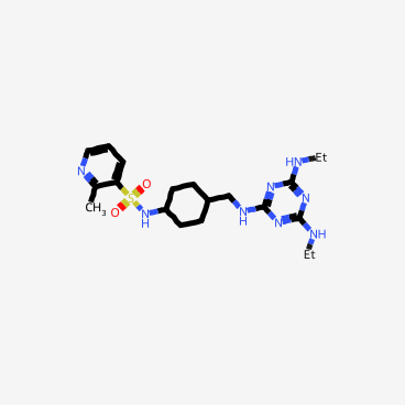 CCNc1nc(NCC)nc(NCC2CCC(NS(=O)(=O)c3cccnc3C)CC2)n1